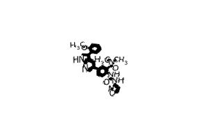 COc1ccccc1-c1c[nH]c2ncc(-c3ccc(NC(=O)Nc4ccon4)c(C(=O)N(C)C)c3)cc12